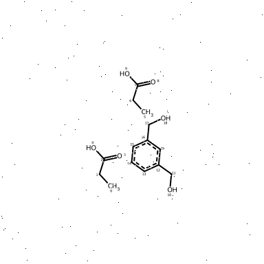 CCC(=O)O.CCC(=O)O.OCc1cccc(CO)c1